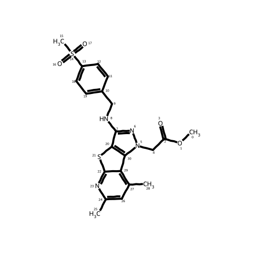 COC(=O)Cn1nc(NCc2ccc(S(C)(=O)=O)cc2)c2sc3nc(C)cc(C)c3c21